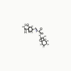 Cc1c(CN(C)C(=O)/C=C/c2cnc3c(c2)OCCN3)oc2ccccc12